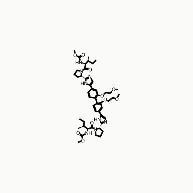 CC[C@H](C)[C@H](NC(=O)OC)C(=O)N1CCC[C@H]1c1ncc(-c2ccc(-c3ccc(-c4cnc([C@@H]5CCCN5C(=O)[C@@H](NC(=O)OC)[C@@H](C)CC)[nH]4)cc3OCCOC)c(OCCOC)c2)[nH]1